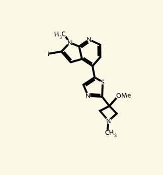 COC1(c2ncc(-c3ccnc4c3cc(I)n4C)s2)CN(C)C1